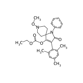 CCOC(=O)OC1=C(c2c(C)cc(C)cc2C)C(=O)N(c2ccccc2)C12CCN(OC)CC2